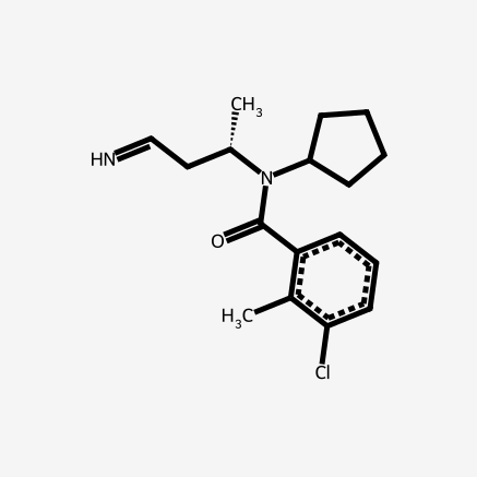 Cc1c(Cl)cccc1C(=O)N(C1CCCC1)[C@@H](C)CC=N